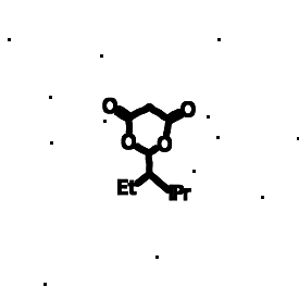 CCC(C(C)C)C1OC(=O)CC(=O)O1